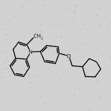 CC1=CCc2ccccc2N1c1ccc(OCC2CCCCC2)cc1